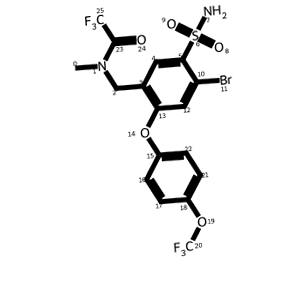 CN(Cc1cc(S(N)(=O)=O)c(Br)cc1Oc1ccc(OC(F)(F)F)cc1)C(=O)C(F)(F)F